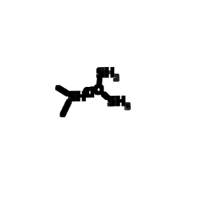 C[SiH](C)Cl.[SiH3]O[SiH3]